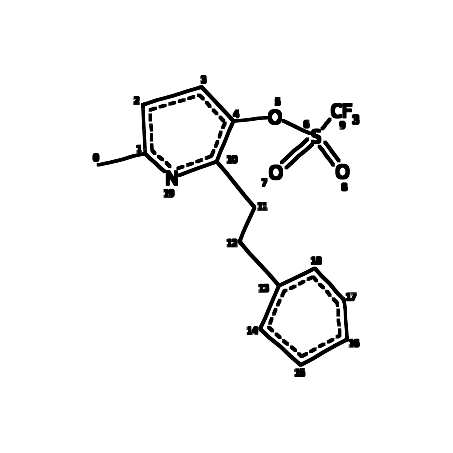 Cc1ccc(OS(=O)(=O)C(F)(F)F)c(CCc2ccccc2)n1